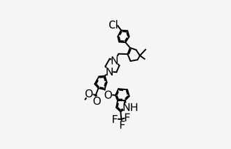 COC(=O)c1ccc(N2CCN(CC3=C(c4ccc(Cl)cc4)CC(C)(C)CC3)CC2)cc1Oc1cccc2[nH]c(C(F)(F)F)cc12